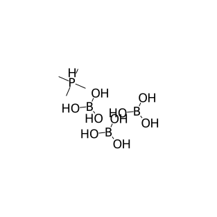 C[PH](C)(C)C.OB(O)O.OB(O)O.OB(O)O